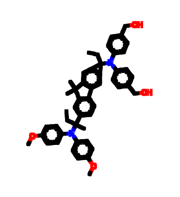 CCC(C)(c1ccc2c(c1)C(C)(C)c1cc3c(cc1-2)C3(CC)N(c1ccc(CO)cc1)c1ccc(CO)cc1)N(c1ccc(OC)cc1)c1ccc(OC)cc1